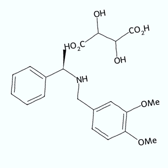 COc1ccc(CN[C@H](C)c2ccccc2)cc1OC.O=C(O)C(O)C(O)C(=O)O